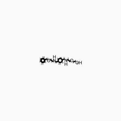 OCCOCCNCC1CCC(CNCCOCc2ccccc2)CC1